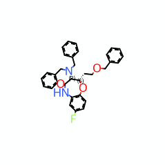 O=C1Nc2cc(F)ccc2O[C@@H](CCOCc2ccccc2)[C@H]1N(Cc1ccccc1)Cc1ccccc1